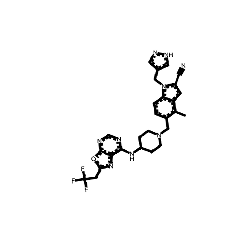 Cc1c(CN2CCC(Nc3ncnc4oc(CC(F)(F)F)nc34)CC2)ccc2c1cc(C#N)n2Cc1cn[nH]c1